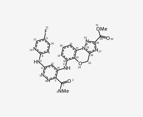 CNC(=O)c1nnc(Nc2ccc(F)cn2)cc1Nc1cccc2c1OCc1nc(C(=O)OC)nn1-2